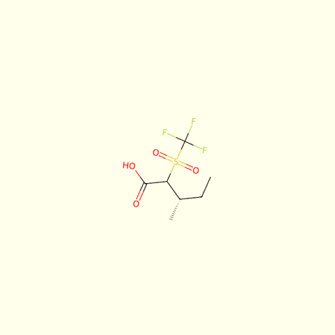 CC[C@H](C)C(C(=O)O)S(=O)(=O)C(F)(F)F